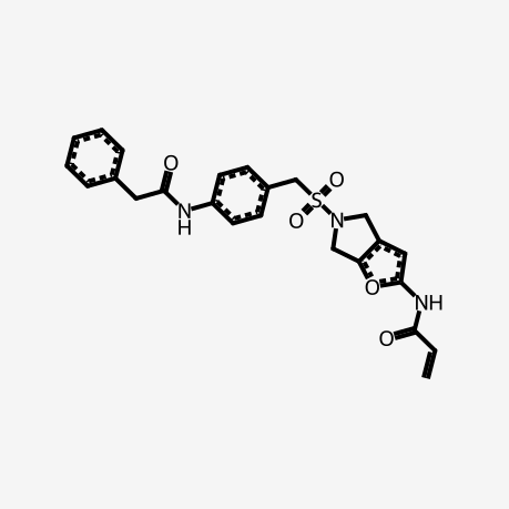 C=CC(=O)Nc1cc2c(o1)CN(S(=O)(=O)Cc1ccc(NC(=O)Cc3ccccc3)cc1)C2